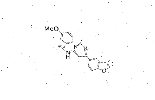 COc1cccc([C@@H](C)Nc2cc(-c3ccc4occ(C)c4c3)nc(C)n2)c1